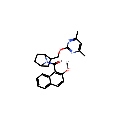 CCOc1ccc2ccccc2c1C(=O)N1C2CCC1C(COc1nc(C)cc(C)n1)C2